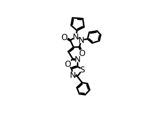 O=C1C(=Cc2nc3sc(-c4ccccc4)nc3o2)C(=O)N(c2ccccc2)N1c1ccccc1